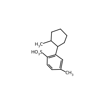 Cc1ccc(S(=O)(=O)O)c(C2CCCCC2C)c1